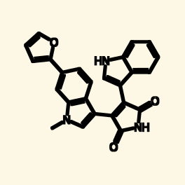 Cn1cc(C2=C(c3c[nH]c4ccccc34)C(=O)NC2=O)c2ccc(-c3ccco3)cc21